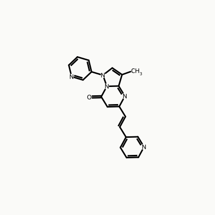 Cc1cn(-c2cccnc2)n2c(=O)cc(/C=C/c3cccnc3)nc12